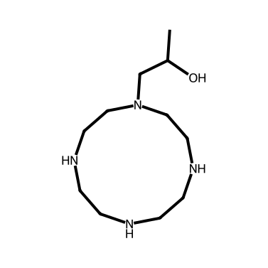 CC(O)CN1CCNCCNCCNCC1